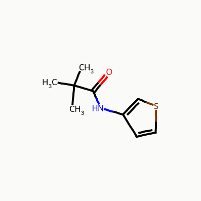 CC(C)(C)C(=O)Nc1ccsc1